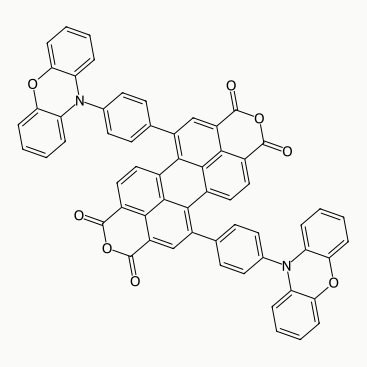 O=C1OC(=O)c2cc(-c3ccc(N4c5ccccc5Oc5ccccc54)cc3)c3c4ccc5c6c(cc(-c7ccc(N8c9ccccc9Oc9ccccc98)cc7)c(c7ccc1c2c73)c64)C(=O)OC5=O